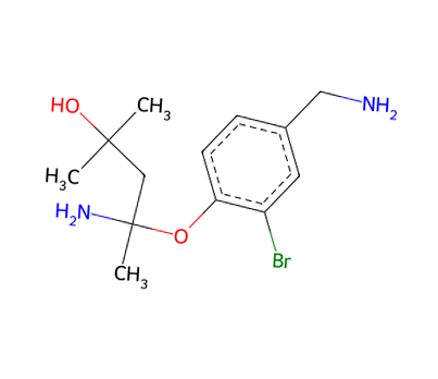 CC(C)(O)CC(C)(N)Oc1ccc(CN)cc1Br